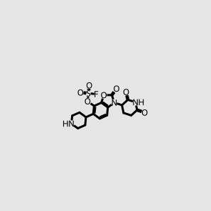 O=C1CCC(n2c(=O)oc3c(OS(=O)(=O)F)c(C4CCNCC4)ccc32)C(=O)N1